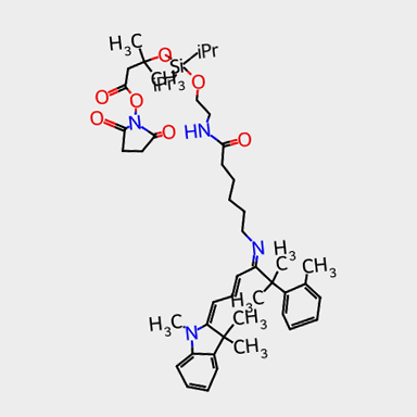 Cc1ccccc1C(C)(C)C(/C=C/C=C1/N(C)c2ccccc2C1(C)C)=N/CCCCCC(=O)NCCO[Si](OC(C)(C)CC(=O)ON1C(=O)CCC1=O)(C(C)C)C(C)C